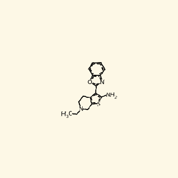 CCN1CCc2c(sc(N)c2-c2nc3ccccc3o2)C1